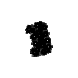 CC1(C)CCC(C)(C)c2cc(N3c4ccccc4B4c5cc6c(nc5N(c5ccccc5)c5nc(N7c8ccccc8[Si](C)(C)c8ccccc87)cc3c54)N(c3ccccc3)c3nc(N4c5ccccc5[Si](C)(C)c5ccccc54)cc4c3B6c3ccccc3N4c3ccc4c(c3)C(C)(C)CCC4(C)C)ccc21